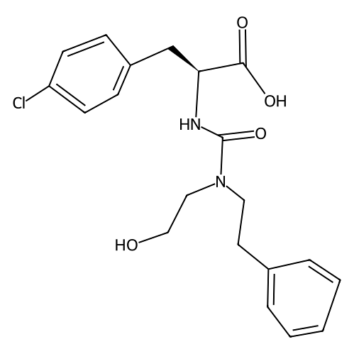 O=C(O)[C@H](Cc1ccc(Cl)cc1)NC(=O)N(CCO)CCc1ccccc1